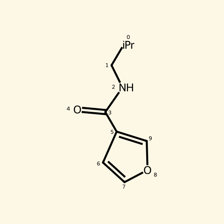 CC(C)CNC(=O)c1ccoc1